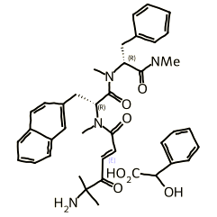 CNC(=O)[C@@H](Cc1ccccc1)N(C)C(=O)[C@@H](Cc1ccc2ccccc2c1)N(C)C(=O)/C=C/C(=O)C(C)(C)N.O=C(O)C(O)c1ccccc1